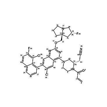 C=CC(=O)N1CCN(c2nc(OC[C@@]34CCCN3C[C@H](F)C4)nc3cc(-c4cccc5ccc(F)c(Cl)c45)c(Cl)cc23)C[C@@H]1CC#N